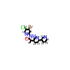 CC(C(=O)Nc1cc(Br)c(Cl)cn1)c1ccc(-c2cccnc2)nc1